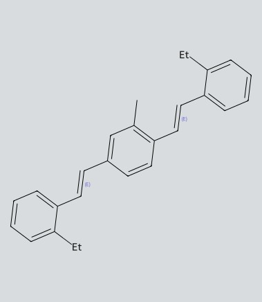 CCc1ccccc1/C=C/c1ccc(/C=C/c2ccccc2CC)c(C)c1